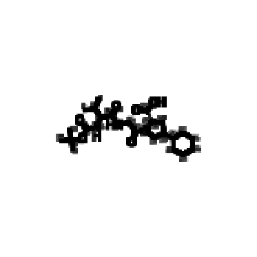 CC(C)C(NC(=O)OC(C)(C)C)C(=O)NCC(=O)N1C[C@H](C2CCCCC2)C[C@H]1C(=O)O